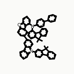 CC1(C)c2ccccc2-c2ccc(-n3c4ccccc4c4cc(-c5ccc6oc7cccc(N(c8ccc(-c9ccccc9)cc8)c8cccc9c8-c8ccccc8C9(C)C)c7c6c5)ccc43)cc21